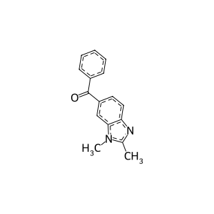 Cc1nc2ccc(C(=O)c3ccccc3)cc2n1C